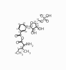 CC[C@H](C)[C@H](N)C(=O)OC(=O)c1ccc[n+]([C@@H]2O[C@H](COP(=O)([O-])O)[C@@H](O)[C@H]2O)c1